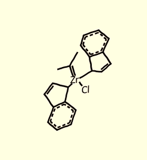 C[C](C)=[Zr]([Cl])([CH]1C=Cc2ccccc21)[CH]1C=Cc2ccccc21